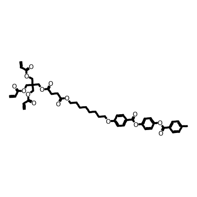 C=CC(=O)OCC(COC(=O)C=C)(COC(=O)C=C)COC(=O)CCC(=O)OCCCCCCCCOc1ccc(C(=O)Oc2ccc(OC(=O)c3ccc(C)cc3)cc2)cc1